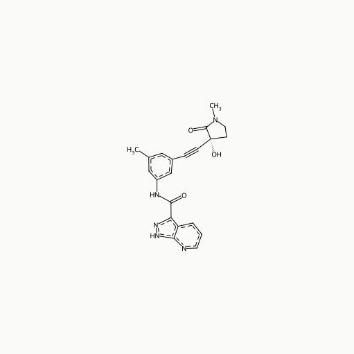 Cc1cc(C#C[C@]2(O)CCN(C)C2=O)cc(NC(=O)c2n[nH]c3ncccc23)c1